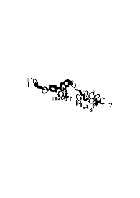 C=C(C)C(=O)OCCC(O)C(O)CCOC1=CC2C(C=C1)C=C(c1ccc(OCCO)cc1)C(=O)N2CC(CC)CCCC